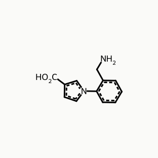 NCc1ccccc1-n1ccc(C(=O)O)c1